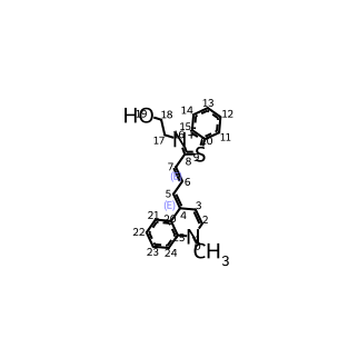 CN1C=C/C(=C\C=C\c2sc3ccccc3[n+]2CCO)c2ccccc21